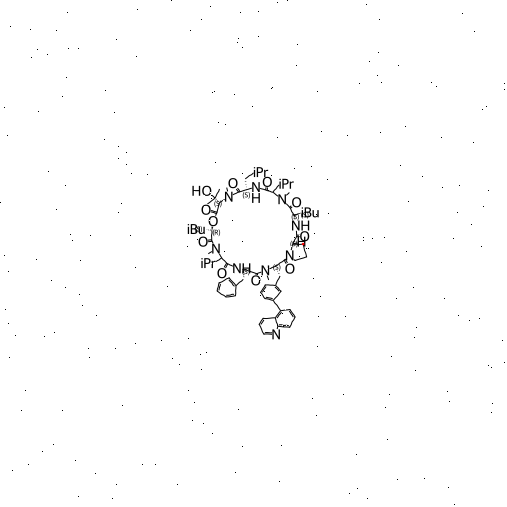 CC[C@H](C)[C@@H]1NC(=O)[C@@H]2CCCN2C(=O)[C@H](Cc2cccc(-c3cccc4ncccc34)c2)N(C)C(=O)[C@H](Cc2ccccc2)NC(=O)C(C(C)C)N(C)C(=O)[C@@H]([C@@H](C)CC)OC(=O)[C@H](C(C)(C)O)N(C)C(=O)[C@H](CC(C)C)NC(=O)C(C(C)C)N(C)C1=O